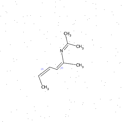 C/C=C\C=C(\C)N=C(C)C